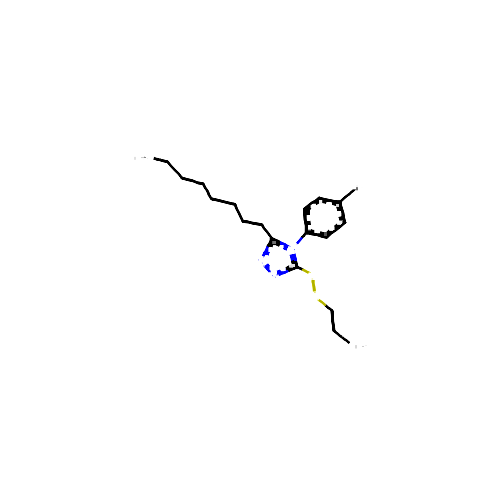 CCCCCCCCCCCCCCCCCc1nnc(SSCCCCCCCCCCCC)n1-c1ccc(C(C)C)cc1